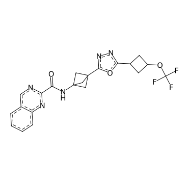 O=C(NC12CC(c3nnc(C4CC(OC(F)(F)F)C4)o3)(C1)C2)c1ncc2ccccc2n1